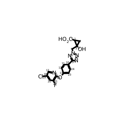 O=C(O)C1CC1(O)Cn1nnc(-c2ccc(Oc3ncc(Cl)cc3F)cc2)n1